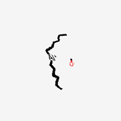 CCCCC[CH2][Al+][CH2]CCCCC.C[O-]